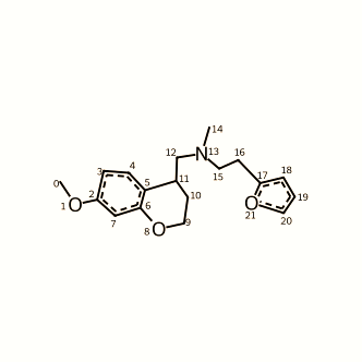 COc1ccc2c(c1)OCCC2CN(C)CCc1ccco1